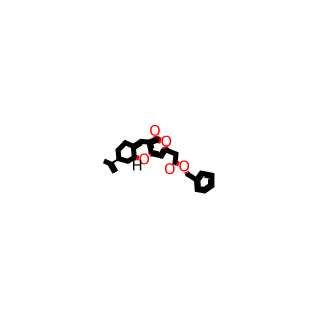 C=C(C)[C@H]1CCC2=Cc3c(cc(CC(=O)OCc4ccccc4)oc3=O)O[C@H]2C1